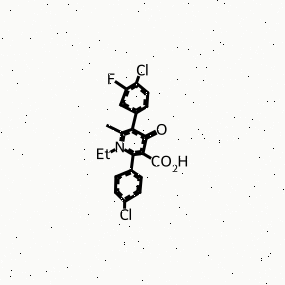 CCn1c(C)c(-c2ccc(Cl)c(F)c2)c(=O)c(C(=O)O)c1-c1ccc(Cl)cc1